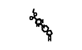 CCOC(=O)c1cnc(N2CCC3(CCNC3)CC2)nc1